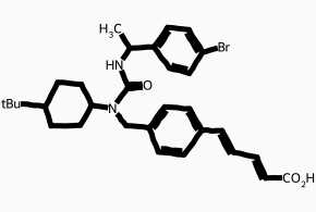 CC(NC(=O)N(Cc1ccc(/C=C/C=C/C(=O)O)cc1)C1CCC(C(C)(C)C)CC1)c1ccc(Br)cc1